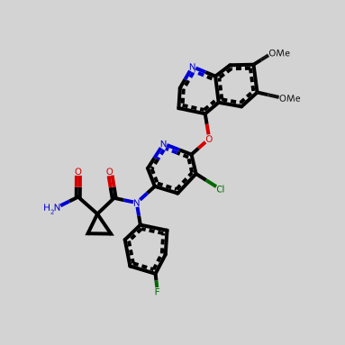 COc1cc2nccc(Oc3ncc(N(C(=O)C4(C(N)=O)CC4)c4ccc(F)cc4)cc3Cl)c2cc1OC